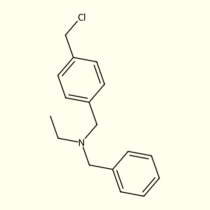 CCN(Cc1ccccc1)Cc1ccc(CCl)cc1